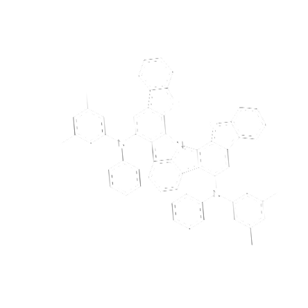 Cc1cc(C)cc(N(c2ccccc2)c2cc3c4ccccc4oc3c3c2c2cccc4c5c(N(c6ccccc6)c6cc(C)cc(C)c6)cc6c7ccccc7oc6c5n3c24)c1